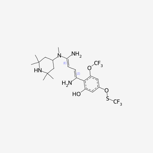 CN(/C(N)=C/C=C(\N)c1c(O)cc(OSC(F)(F)F)cc1OC(F)(F)F)C1CC(C)(C)NC(C)(C)C1